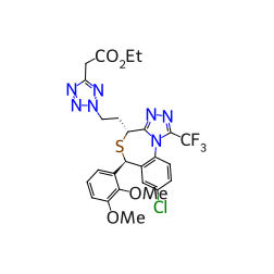 CCOC(=O)Cc1nnn(CC[C@H]2S[C@H](c3cccc(OC)c3OC)c3cc(Cl)ccc3-n3c2nnc3C(F)(F)F)n1